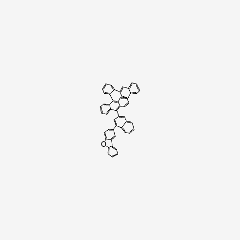 c1ccc(-c2c3ccccc3c(-c3cc(-c4ccc5oc6ccccc6c5c4)c4ccccc4c3)c3ccccc23)c(-c2ccc3ccccc3c2)c1